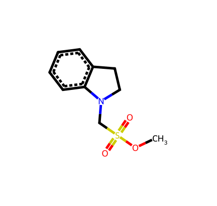 COS(=O)(=O)CN1CCc2ccccc21